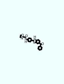 O=C(c1ccccc1)c1ccc2[nH]c(-c3ccc(NC(=O)c4ncco4)cc3)nc2c1